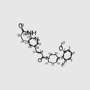 COc1cccc(F)c1C1=CCCN(C(=O)/C=C/c2cnc3c(c2)CCC(=O)N3)CC1